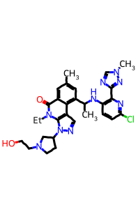 CCn1c(=O)c2cc(C)cc(C(C)Nc3ccc(Cl)nc3-c3ncn(C)n3)c2c2cnn(C3CCN(CCO)C3)c21